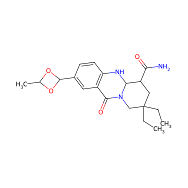 CCC1(CC)CC(C(N)=O)C2Nc3ccc(C4OC(C)O4)cc3C(=O)N2C1